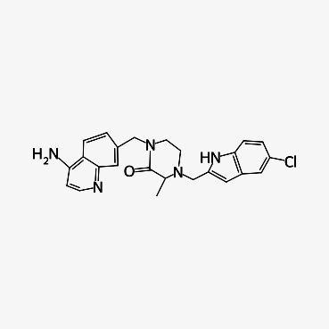 CC1C(=O)N(Cc2ccc3c(N)ccnc3c2)CCN1Cc1cc2cc(Cl)ccc2[nH]1